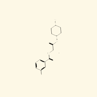 Cl.N[C@H]1CC[C@@H](NC(=O)CNC(=O)c2cccc(C(F)(F)F)c2)CC1